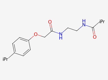 CC(C)C(=O)NCCNC(=O)COc1ccc(C(C)C)cc1